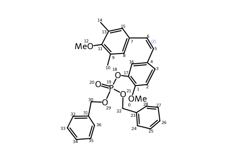 COc1ccc(/C=C\c2cc(C)c(OC)c(C)c2)cc1OP(=O)(OCc1ccccc1)OCc1ccccc1